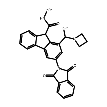 CCCNC(=O)C1c2ccccc2-c2cc(N3C(=O)c4ccccc4C3=O)cc(C(CCC)N3CCC3)c21